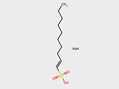 CCCCCCCC/C=C/S(=O)(=O)O.[NaH]